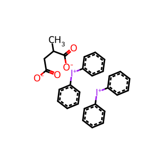 CC(CC(=O)[O-])C(=O)[O-].c1ccc([I+]c2ccccc2)cc1.c1ccc([I+]c2ccccc2)cc1